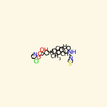 CC1C(C2=CCC(CCOc3ncccc3Cl)(C(=O)O)CC2)=CCC2(C)C1CCC1(C)C2CCC2[C@H]3CCCC3(NCCN3CCSCC3)CC[C@]21C